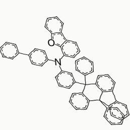 c1ccc(-c2ccc(N(c3cccc(C4(c5ccccc5)c5ccccc5C5(c6ccccc6)c6ccccc6-c6cccc4c65)c3)c3cccc4c3oc3ccccc34)cc2)cc1